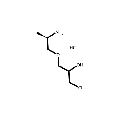 C[C@@H](N)COCC(O)CCl.Cl